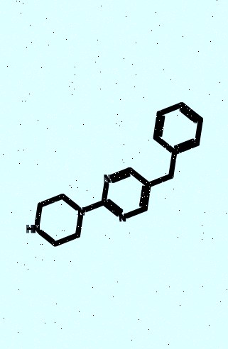 c1ccc(Cc2cnc(N3CCNCC3)nc2)cc1